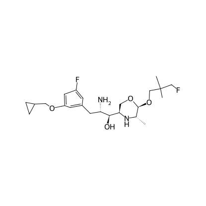 C[C@@H]1N[C@@H]([C@@H](O)[C@@H](N)Cc2cc(F)cc(OCC3CC3)c2)CO[C@H]1OCC(C)(C)CF